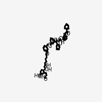 O=C(NC(c1ccccc1)c1cccc(OCc2cccc(OCCCCCNC[C@H](O)c3ccc(O)c4[nH]c(=O)ccc34)c2)c1)O[C@H]1C[N+]2(CC(=O)c3ccccc3)CCC1CC2